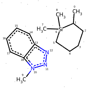 CC1CCCC[Si]1(C)C.Cn1nnc2ccccc21